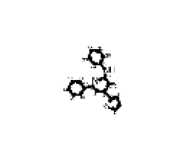 Cc1c(-c2cccs2)cc(-c2ccccc2)nc1Nc1ccccc1